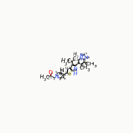 CC(=O)CN1C[C@@H]2CC1CC2c1cc2c(C(C)C)c(-c3cn4ncnc4c(C)c3C)[nH]c2s1